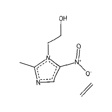 C=C.Cc1ncc([N+](=O)[O-])n1CCO